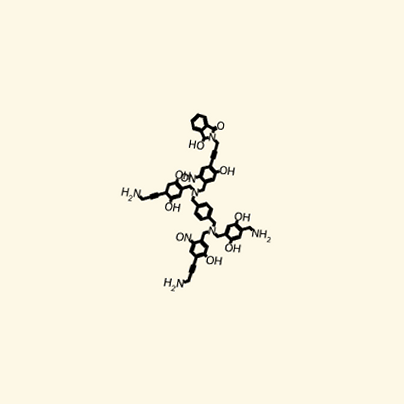 NCC#Cc1cc(N=O)c(CN(Cc2ccc(CN(CC3=C(O)CC(C#CCN)C(O)=C3)Cc3cc(O)c(C#CCN4C(=O)c5ccccc5C4O)cc3N=O)cc2)Cc2cc(O)c(CN)cc2O)cc1O